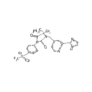 CC1(C)C(=O)N(c2ccc(S(=O)(=O)C(F)(F)F)cc2)C(=O)N1Cc1ccnc(-c2ncc[nH]2)c1